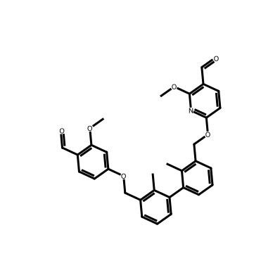 COc1cc(OCc2cccc(-c3cccc(COc4ccc(C=O)c(OC)n4)c3C)c2C)ccc1C=O